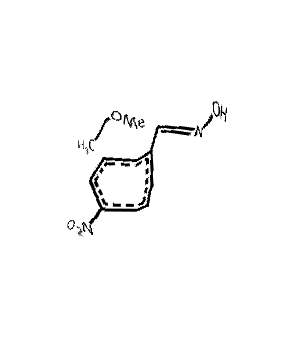 COC.O=[N+]([O-])c1ccc(C=NO)cc1